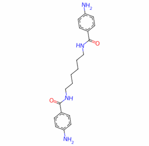 Nc1ccc(C(=O)NCCCCCCNC(=O)c2ccc(N)cc2)cc1